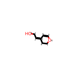 OCC=C1C=COCC1